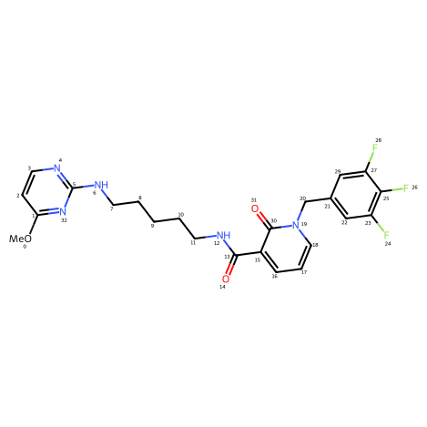 COc1ccnc(NCCCCCNC(=O)c2cccn(Cc3cc(F)c(F)c(F)c3)c2=O)n1